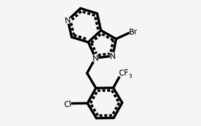 FC(F)(F)c1cccc(Cl)c1Cn1nc(Br)c2ccncc21